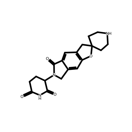 O=C1CCC(N2Cc3cc4c(cc3C2=O)CC2(CCNCC2)O4)C(=O)N1